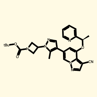 Cc1c(-c2cc(O[C@H](C)c3ccccn3)c3c(C#N)cnn3c2)cnn1C1CN(C(=O)OC(C)(C)C)C1